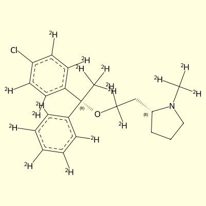 [2H]c1c([2H])c([2H])c([C@@](OC([2H])([2H])C[C@H]2CCCN2C([2H])([2H])[2H])(c2c([2H])c([2H])c(Cl)c([2H])c2[2H])C([2H])([2H])[2H])c([2H])c1[2H]